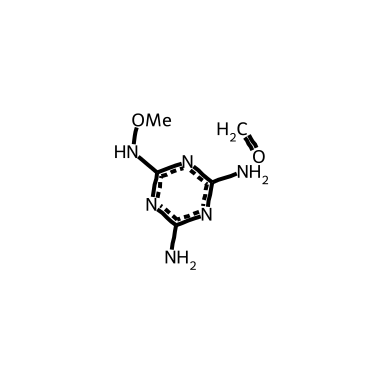 C=O.CONc1nc(N)nc(N)n1